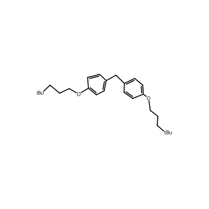 CCC(C)CCCOc1ccc(Cc2ccc(OCCCC(C)(C)C)cc2)cc1